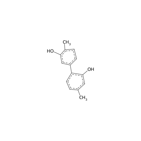 Cc1ccc(-c2ccc(C)c(O)c2)c(O)c1